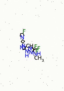 CCNc1nc(Nc2cnn([C@H]3C[C@@H](N4CC[C@@H](F)C4)C3)c2C)ncc1C(F)(F)F